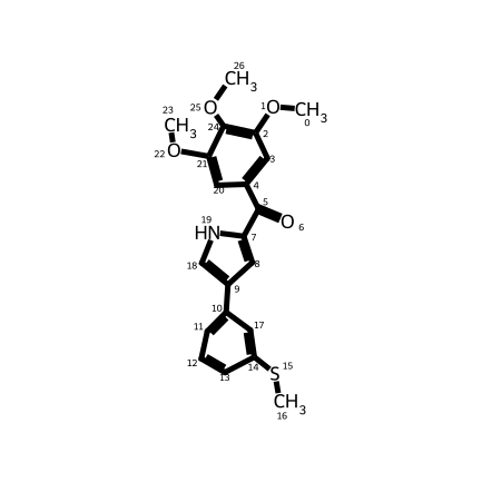 COc1cc(C(=O)c2cc(-c3cccc(SC)c3)c[nH]2)cc(OC)c1OC